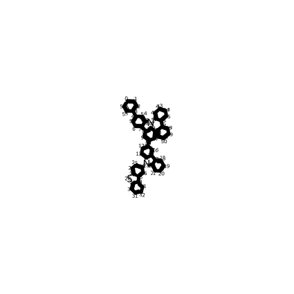 c1ccc(-c2ccc3c4cc(-c5ccc6c(c5)c5ccccc5n6-c5ccc6sc7ccccc7c6c5)ccc4n(-c4ccccc4-c4ccccc4)c3c2)cc1